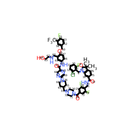 CC1(C)C(=O)N(Cc2c(F)cccc2Cl)c2cc(C(=O)NCc3c(F)cc(C(=O)N4CCN(CC5CCN(c6cnc(C(=O)Nc7ccc(OCc8ccc(F)c(C(F)(F)F)c8)c(CNCCO)c7)cn6)CC5)CC4)cc3F)ccc21